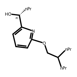 CCCC(CCC)COc1cccc([C@H](O)CCC)n1